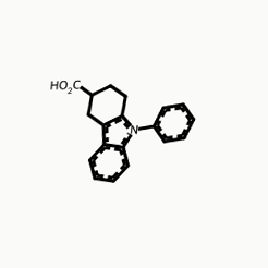 O=C(O)C1CCc2c(c3ccccc3n2-c2ccccc2)C1